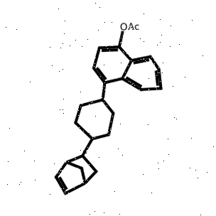 CC(=O)Oc1ccc(C2CCC(C3CC4C=CC3C4)CC2)c2ccccc12